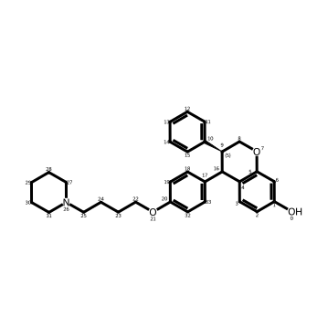 Oc1ccc2c(c1)OC[C@H](c1ccccc1)C2c1ccc(OCCCCN2CCCCC2)cc1